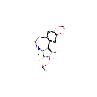 CC1=C2c3cc4c(cc3CCN3CCC[C@]23[C@@H]2OC(C)(C)O[C@H]12)OCO4